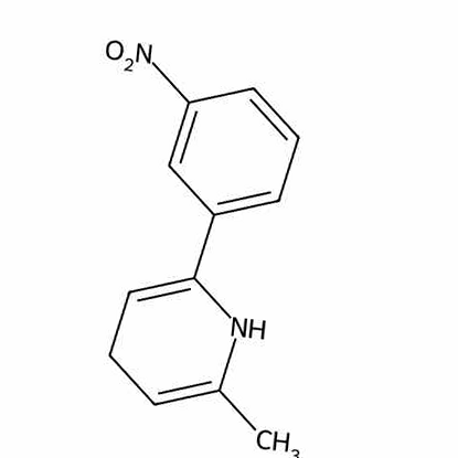 CC1=CCC=C(c2cccc([N+](=O)[O-])c2)N1